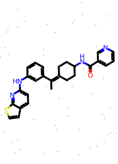 CC(=C1CCC(NC(=O)c2cccnc2)CC1)c1cccc(Nc2ccc3ccsc3n2)c1